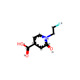 O=C(O)c1ccn(CCF)c(=O)c1